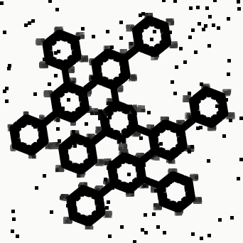 c1ccc(-c2ccc(-c3ccc(-c4ccccc4)cc3-c3nc(-c4ccccc4)nc(-c4cc(-c5ccccc5)ccc4-c4ccc(-c5ccccc5)cc4-c4ccccc4)n3)c(-c3ccccc3)c2)cc1